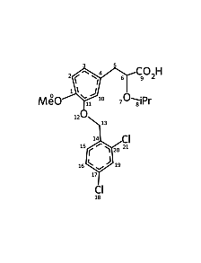 COc1ccc(CC(OC(C)C)C(=O)O)cc1OCc1ccc(Cl)cc1Cl